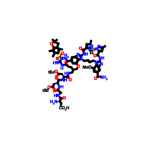 CCn1nc(C)cc1C(=O)Nc1nc2cc(C(N)=O)cc(OC)c2n1C/C=C/Cn1c(NC(=O)c2cc(C)nn2CC)nc2cc(C(N)=O)cc(OCC(CCCNC(=N)NS(=O)(=O)c3c(C)c(C)c4c(c3C)CC(C)(C)O4)CNC(=O)[C@H](CC(=O)OC(C)(C)C)NC(=O)[C@H](CC(=O)OC(C)(C)C)NC(=O)CNC(=O)[C@@H](N)CC(=O)O)c21